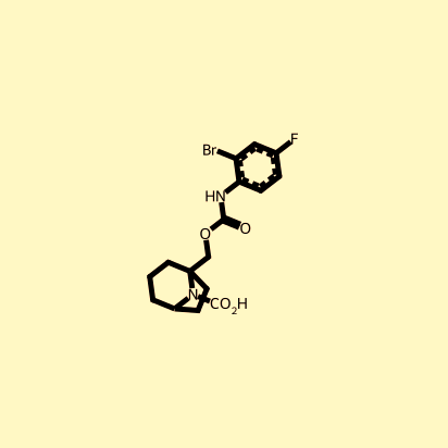 O=C(Nc1ccc(F)cc1Br)OCC12CCCC(CC1)N2C(=O)O